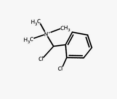 C[N+](C)(C)C(Cl)c1ccccc1Cl